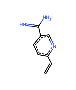 C=Cc1ccc(C(=N)N)cn1